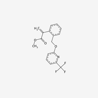 C=C(C(=O)OC)c1ccccc1COc1cccc(C(F)(F)F)n1